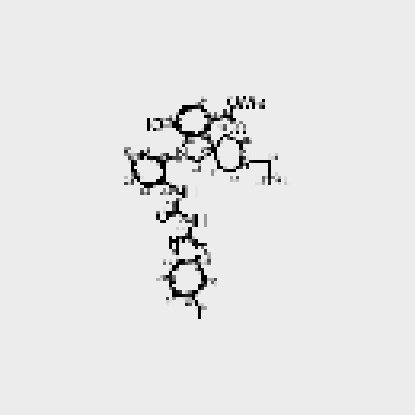 COC(=O)c1ccc(O)c2c1C1(CCN(CC(C)(C)C)CC1)CN2c1ccccc1NC(=O)Nc1nc2ccc(F)cc2s1